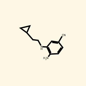 N#Cc1ccc(N)c(NCCC2CC2)c1